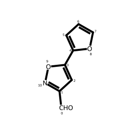 O=Cc1cc(-c2ccco2)on1